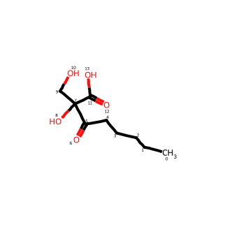 CCCCCC(=O)C(O)(CO)C(=O)O